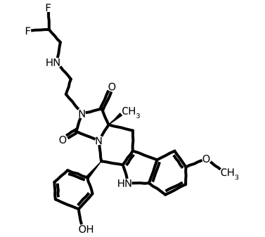 COc1ccc2[nH]c3c(c2c1)C[C@@]1(C)C(=O)N(CCNCC(F)F)C(=O)N1[C@@H]3c1cccc(O)c1